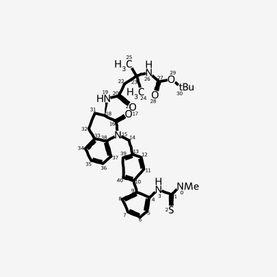 CNC(=S)Nc1ccccc1-c1ccc(CN2C(=O)[C@H](NC(=O)CC(C)(C)NC(=O)OC(C)(C)C)CCc3ccccc32)cc1